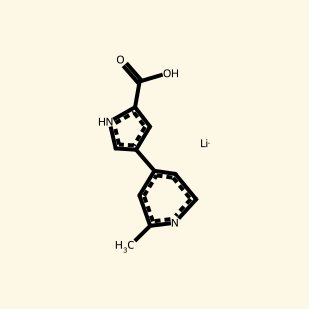 Cc1cc(-c2c[nH]c(C(=O)O)c2)ccn1.[Li]